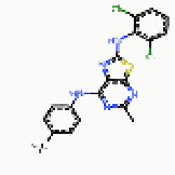 Cc1nc(Nc2ccc(C(F)(F)F)cc2)c2nc(Nc3c(Cl)cccc3Cl)sc2n1